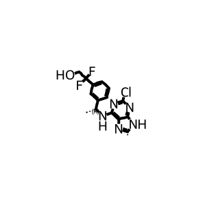 C[C@@H](Nc1nc(Cl)nc2[nH][c]nc12)c1cccc(C(F)(F)CO)c1